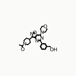 CC(=O)N1CCC(c2noc3c(N4CCOCC4)nc(-c4cccc(CO)c4)nc23)CC1